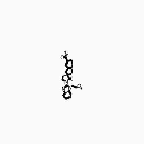 COCCn1c(N2CC[C@@]3(CCc4ccc(C(=O)OC)cc4C3)C2=O)nc2ccccc21